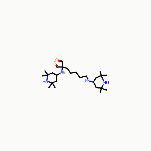 CC1(C)CC(NCCCCCC(C=O)(C=O)NC2CC(C)(C)NC(C)(C)C2)CC(C)(C)N1